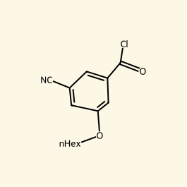 CCCCCCOc1cc(C#N)cc(C(=O)Cl)c1